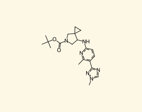 Cc1nc(NC2CN(C(=O)OC(C)(C)C)CC23CC3)ccc1-c1ncn(C)n1